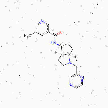 Cc1cncc(C(=O)N[C@H]2CC[C@@H]3[C@H]2CCN3Cc2cnccn2)c1